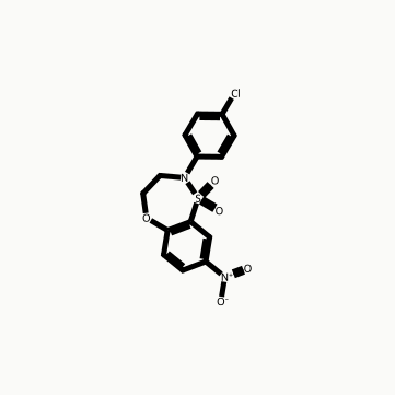 O=[N+]([O-])c1ccc2c(c1)S(=O)(=O)N(c1ccc(Cl)cc1)CCO2